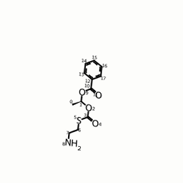 C[C@H](OC(=O)SCCN)OC(=O)c1ccccc1